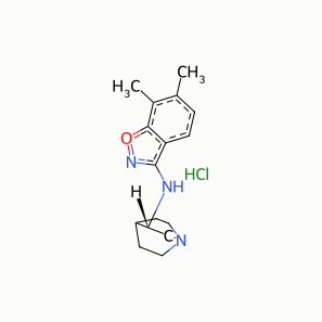 Cc1ccc2c(N[C@@H]3CN4CCC3CC4)noc2c1C.Cl